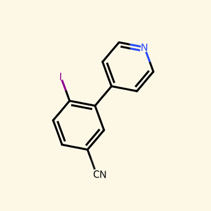 N#Cc1ccc(I)c(-c2ccncc2)c1